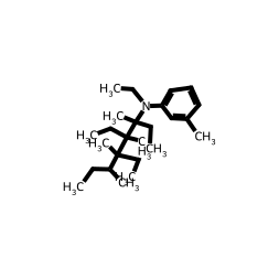 CCC(C)C(C)(CC)C(C)(CC)C(C)(CC)N(CC)c1cccc(C)c1